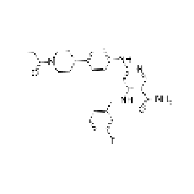 CCC(=O)N1CCC(c2ccc(Nc3cc(NCc4cccc(F)c4)c(C(N)=O)cn3)cc2)CC1